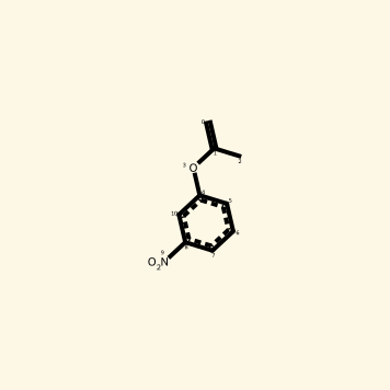 C=C(C)Oc1cccc([N+](=O)[O-])c1